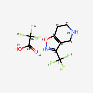 FC(F)(F)c1noc2c1CNCC2.O=C(O)C(F)(F)F